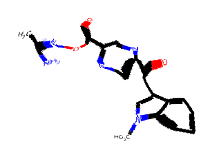 C/C(N)=N/OC(=O)c1cnc(C(=O)c2cn(C(=O)O)c3ccccc23)cn1